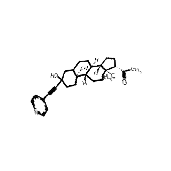 CC(=O)[C@H]1CC[C@H]2[C@@H]3CCC4CC(O)(C#Cc5ccncc5)CC[C@]4(C)[C@H]3CC[C@]12C